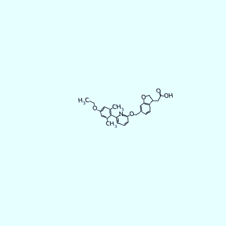 CCOc1cc(C)c(-c2cccc(OCc3ccc4c(c3)OCC4CC(=O)O)n2)c(C)c1